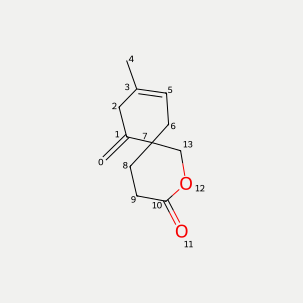 C=C1CC(C)=CCC12CCC(=O)OC2